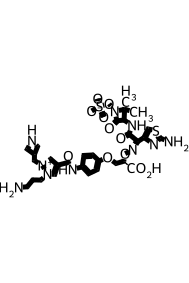 CC1(C)C(NC(=O)/C(=N\O[C@@H](COc2ccc(NC(=O)c3cn(CCCN)[n+](CC4CNC4)c3)cc2)C(=O)O)c2csc(N)n2)C(=O)N1OS(=O)(=O)[O-]